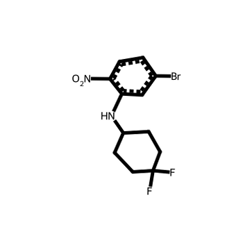 O=[N+]([O-])c1ccc(Br)cc1NC1CCC(F)(F)CC1